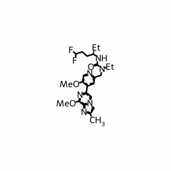 CC[C@H](CCC(F)F)NC(=O)N(CC)Cc1cc(-c2cn3cc(C)nc3c(OC)n2)c(OC)cn1